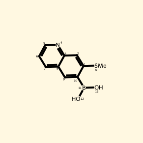 CSc1cc2ncccc2cc1B(O)O